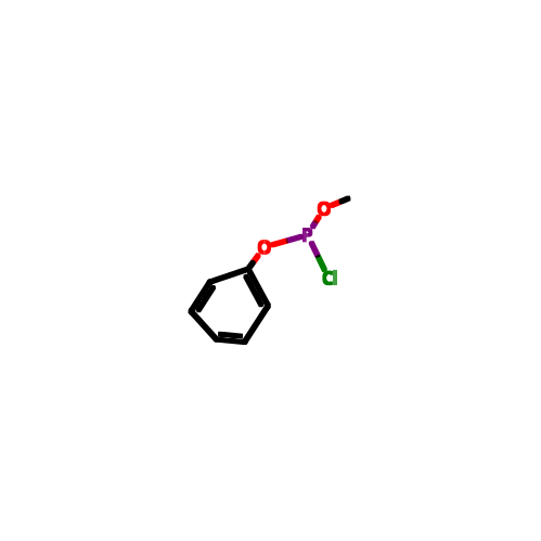 COP(Cl)Oc1ccccc1